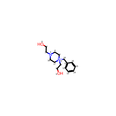 OCCN1CC[N+](CCO)(Cc2ccccc2)CC1